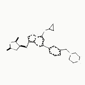 O=C1CC(=Cc2cnn3c(NC4CC4)cc(-c4cccc(CN5CCOCC5)c4)nc23)C(=O)N1